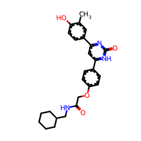 Cc1cc(-c2cc(-c3ccc(OCC(=O)NCC4CCCCC4)cc3)[nH]c(=O)n2)ccc1O